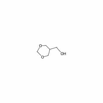 OCC1COCOC1